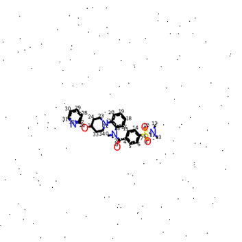 CN(C(=O)c1ccc(S(=O)(=O)N(C)C)cc1)c1ccccc1N1CCC(Oc2ccccn2)CC1